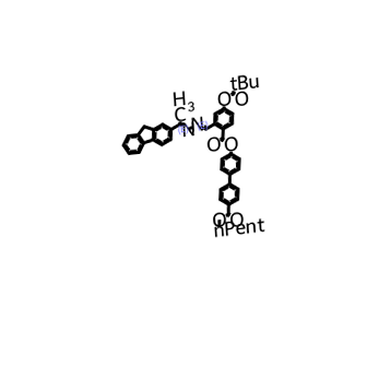 CCCCCOC(=O)c1ccc(-c2ccc(OC(=O)c3ccc(OC(=O)C(C)(C)C)cc3/C=N/N=C(\C)c3ccc4c(c3)Cc3ccccc3-4)cc2)cc1